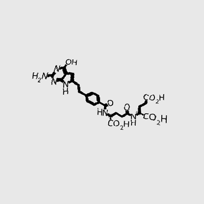 Nc1nc(O)c2cc(CCc3ccc(C(=O)N[C@@H](CCC(=O)N[C@@H](CCC(=O)O)C(=O)O)C(=O)O)cc3)[nH]c2n1